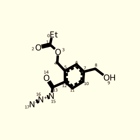 CCC(=O)OCc1cc(CO)ccc1C(=O)N=[N+]=[N-]